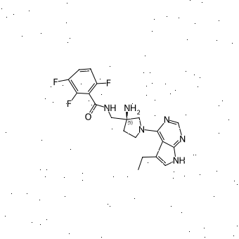 CCc1c[nH]c2ncnc(N3CC[C@](N)(CNC(=O)c4c(F)ccc(F)c4F)C3)c12